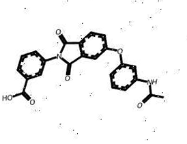 CC(=O)Nc1cccc(Oc2ccc3c(c2)C(=O)N(c2cccc(C(=O)O)c2)C3=O)c1